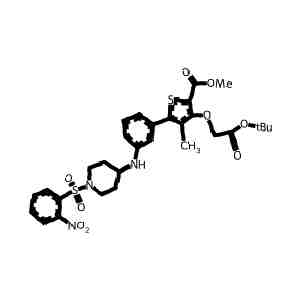 COC(=O)c1sc(-c2cccc(NC3CCN(S(=O)(=O)c4ccccc4[N+](=O)[O-])CC3)c2)c(C)c1OCC(=O)OC(C)(C)C